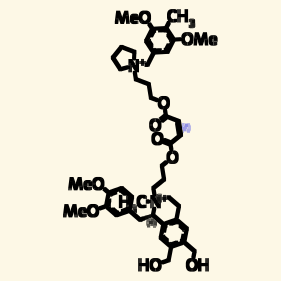 COc1ccc(C[C@@H]2c3cc(CO)c(CO)cc3CC[N@@+]2(C)CCCOC(=O)/C=C\C(=O)OCCC[N+]2(Cc3cc(OC)c(C)c(OC)c3)CCCC2)cc1OC